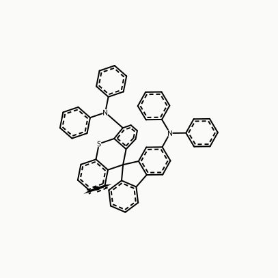 c1ccc(N(c2ccccc2)c2ccc3c(c2)C2(c4ccccc4-3)c3cccc(N(c4ccccc4)c4ccccc4)c3Sc3ccc4ccccc4c32)cc1